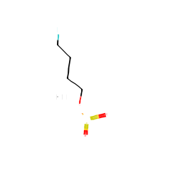 O=[SH](=O)OCCCCF.[KH]